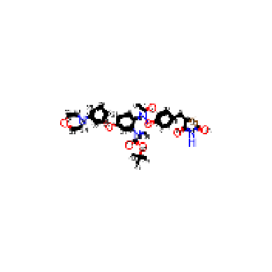 CC(=O)N(Oc1ccc(CC2SC(=O)NC2=O)cc1)c1ccc(Oc2cccc(N3CCOCC3)c2)cc1N(C)C(=O)OC(C)(C)C